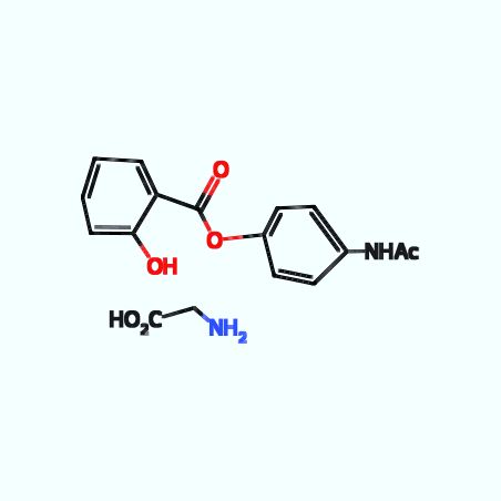 CC(=O)Nc1ccc(OC(=O)c2ccccc2O)cc1.NCC(=O)O